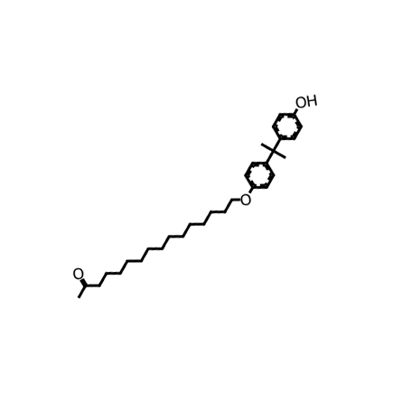 CC(=O)CCCCCCCCCCCCCCOc1ccc(C(C)(C)c2ccc(O)cc2)cc1